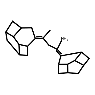 C/C(CC(N)=C1C2CC3CC4CC1C4C32)=C1\CC2CC3CC4CC1C4C23